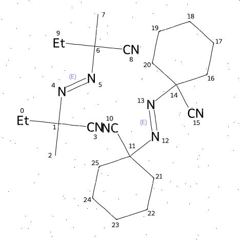 CCC(C)(C#N)/N=N/C(C)(C#N)CC.N#CC1(/N=N/C2(C#N)CCCCC2)CCCCC1